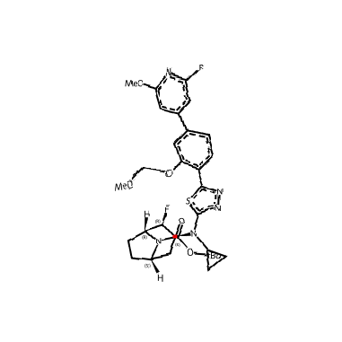 COCOc1cc(-c2cc(F)nc(OC)c2)ccc1-c1nnc(N(C2CC2)[C@H]2C[C@@H]3CC[C@H]([C@H]2F)N3C(=O)OC(C)(C)C)s1